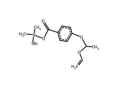 C=COC(C)Oc1ccc(C(=O)O[Si](C)(C)C(C)(C)C)cc1